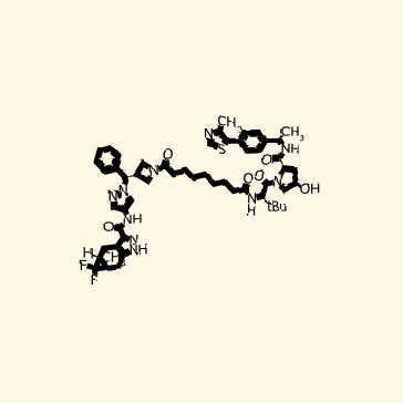 Cc1ncsc1-c1ccc([C@H](C)NC(=O)[C@@H]2C[C@@H](O)CN2C(=O)[C@@H](NC(=O)CCCCCCCC(=O)N2CC([C@@H](c3ccccc3)n3cc(NC(=O)c4n[nH]c5c4C[C@@H]4C(F)(F)[C@]4(C)C5)cn3)C2)C(C)(C)C)cc1